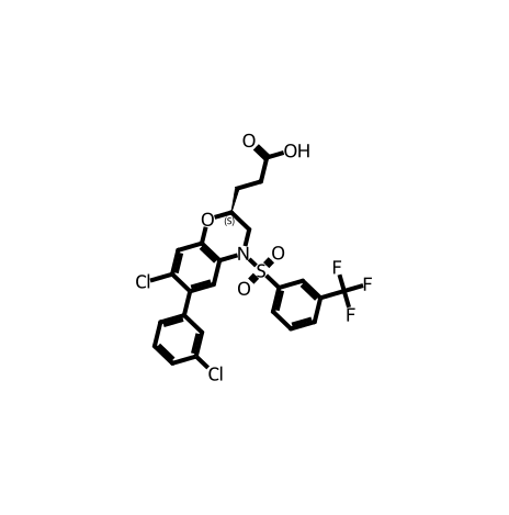 O=C(O)CC[C@H]1CN(S(=O)(=O)c2cccc(C(F)(F)F)c2)c2cc(-c3cccc(Cl)c3)c(Cl)cc2O1